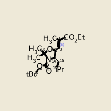 CCOC(=O)/C(C)=C/[C@@H]1OC(C)(C)N(C(=O)OC(C)(C)C)[C@H]1CC(C)C